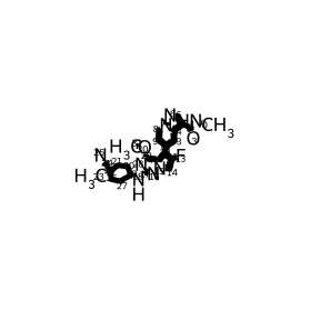 CNC(=O)c1cnn2ccc(-c3c(F)cn4nc(NC5CCC(C)(C#N)CC5)nc(OC)c34)cc12